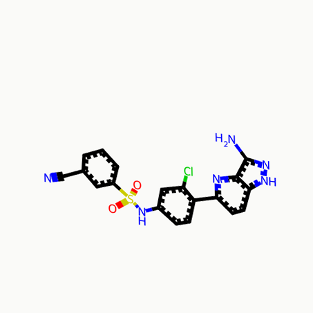 N#Cc1cccc(S(=O)(=O)Nc2ccc(-c3ccc4[nH]nc(N)c4n3)c(Cl)c2)c1